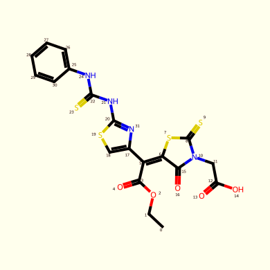 CCOC(=O)C(=C1SC(=S)N(CC(=O)O)C1=O)c1csc(NC(=S)Nc2ccccc2)n1